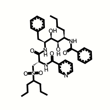 CCCC[C@@H](NC(=O)c1ccccc1)[C@@H](O)[C@H](O)[C@H](Cc1ccccc1)NC(=O)[C@@H](CS(=O)(=O)C(CCC)CCC)NC(=O)c1cccnc1